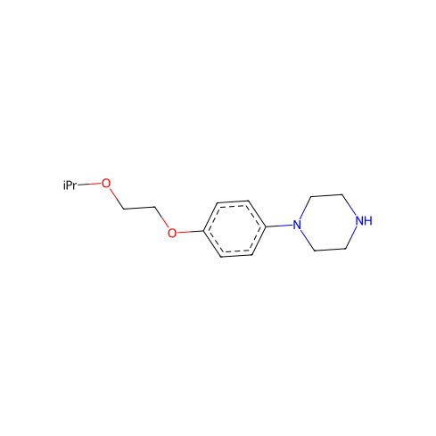 CC(C)OCCOc1ccc(N2CCNCC2)cc1